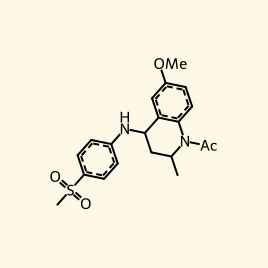 COc1ccc2c(c1)C(Nc1ccc(S(C)(=O)=O)cc1)CC(C)N2C(C)=O